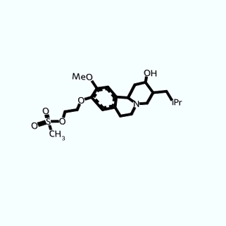 COc1cc2c(cc1OCCOS(C)(=O)=O)CCN1CC(CC(C)C)C(O)CC21